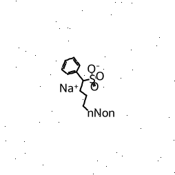 CCCCCCCCCCCCC(c1ccccc1)S(=O)(=O)[O-].[Na+]